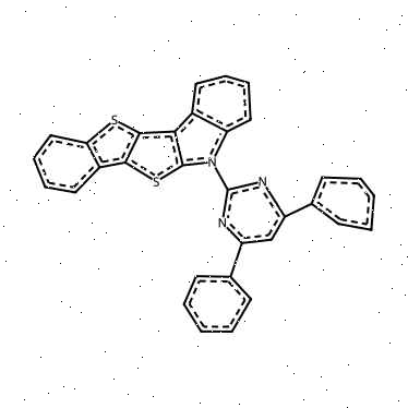 c1ccc(-c2cc(-c3ccccc3)nc(-n3c4ccccc4c4c5sc6ccccc6c5sc43)n2)cc1